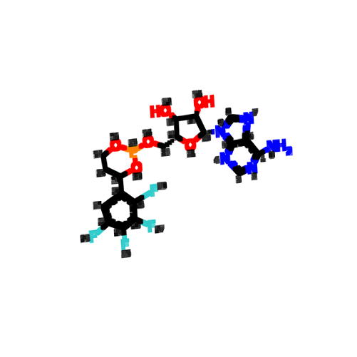 Nc1ncnc2c1ncn2[C@@H]1O[C@H](COP2OCCC(c3cc(F)c(F)c(F)c3F)O2)[C@@H](O)[C@H]1O